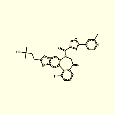 C=C1CN(C(=O)c2coc(-c3ccnc(C)c3)n2)c2cn3cc(CCC(C)(C)O)nc3cc2-c2c(F)cccc21